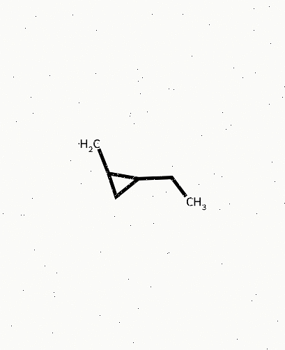 [CH2]C1CC1CC